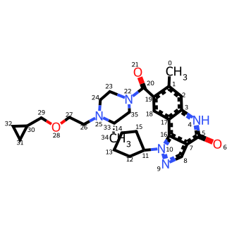 Cc1cc2[nH]c(=O)c3cnn(C4CCCC4)c3c2cc1C(=O)N1CCN(CCOCC2CC2)[C@@H](C)C1